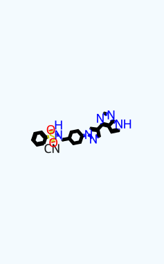 N#Cc1ccccc1S(=O)(=O)NCC1CCC(n2cc(-c3ncnc4[nH]ccc34)cn2)CC1